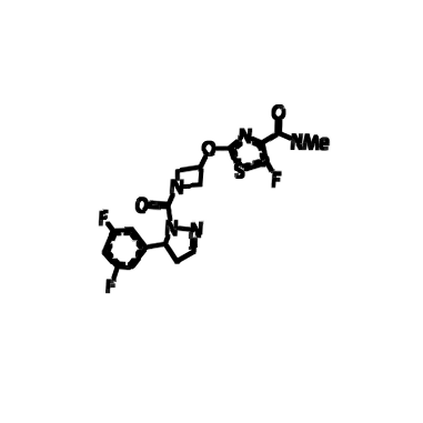 CNC(=O)c1nc(OC2CN(C(=O)N3N=CCC3c3cc(F)cc(F)c3)C2)sc1F